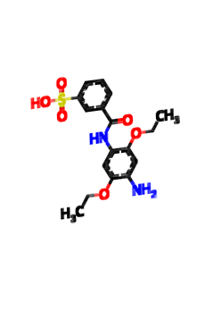 CCOc1cc(NC(=O)c2cccc(S(=O)(=O)O)c2)c(OCC)cc1N